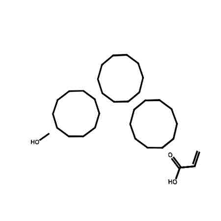 C1CCCCCCCCC1.C1CCCCCCCCC1.C1CCCCCCCCC1.C=CC(=O)O.CO